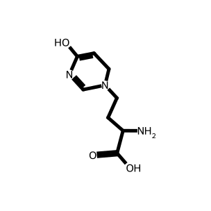 NC(CCN1C=NC(O)=CC1)C(=O)O